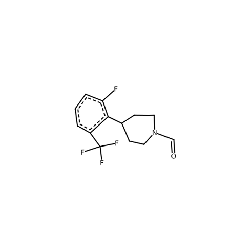 O=CN1CCC(c2c(F)cccc2C(F)(F)F)CC1